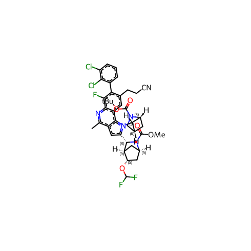 COC(=O)N1[C@@H]2C[C@@H]([C@@H](OC(F)F)C2)[C@@H]1c1cc2c(C)nc3c(F)c(-c4cccc(Cl)c4Cl)c(CCC#N)cc3c2n1[C@H]1[C@@H]2C[C@H]1N(C(=O)OC(C)(C)C)C2